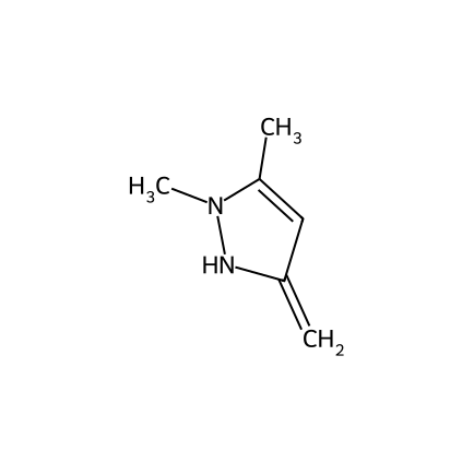 C=C1C=C(C)N(C)N1